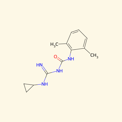 Cc1cccc(C)c1NC(=O)NC(=N)NC1CC1